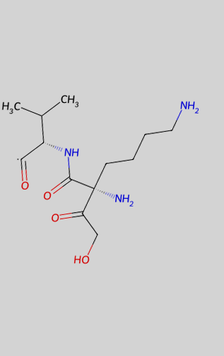 CC(C)[C@@H]([C]=O)NC(=O)[C@@](N)(CCCCN)C(=O)CO